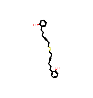 Oc1ccccc1CCCC#CCCSCCC#CCCCc1ccccc1O